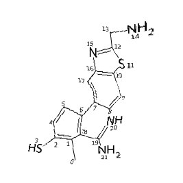 Cc1c(S)ccc(-c2ccc3sc(CN)nc3c2)c1C(=N)N